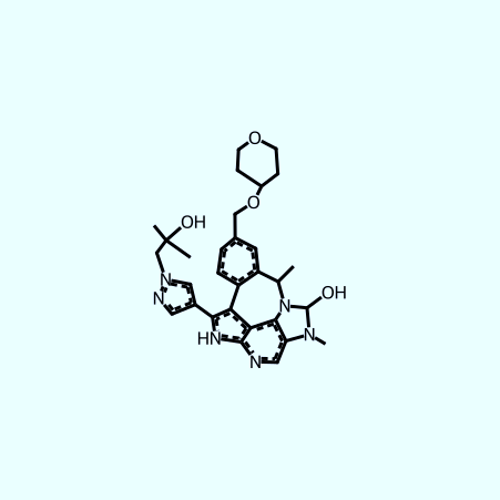 CC1c2cc(COC3CCOCC3)ccc2-c2c(-c3cnn(CC(C)(C)O)c3)[nH]c3ncc4c(c23)N1C(O)N4C